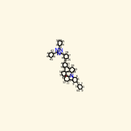 c1ccc(-c2ccc3c(c2)c2ccccc2n3-c2cccc3c4cc(-c5cccc(-c6nc(-c7ccccc7)nc(-c7ccccc7)n6)c5)ccc4c4ccccc4c23)cc1